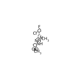 CN1CC(c2ccc(F)cc2Cl)=Cc2cnc(Nc3cccc(S(C)(=O)=O)c3)nc21